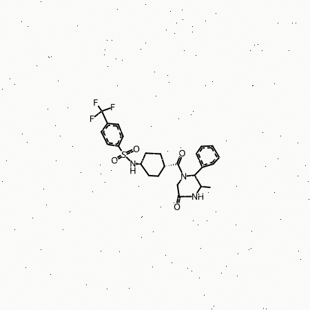 CC1NC(=O)CN(C(=O)[C@H]2CC[C@H](NS(=O)(=O)c3ccc(C(F)(F)F)cc3)CC2)C1c1ccccc1